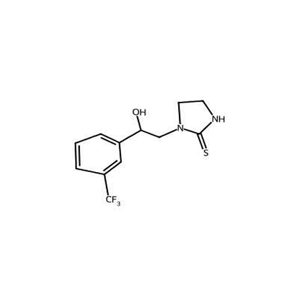 OC(CN1CCNC1=S)c1cccc(C(F)(F)F)c1